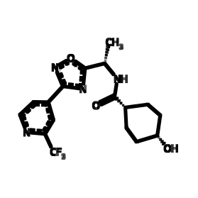 C[C@H](NC(=O)[C@H]1CC[C@@H](O)CC1)c1nc(-c2ccnc(C(F)(F)F)c2)no1